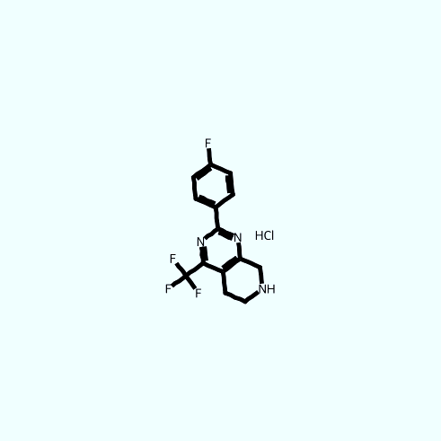 Cl.Fc1ccc(-c2nc3c(c(C(F)(F)F)n2)CCNC3)cc1